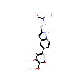 Cc1c(-c2ccc3c(c2)cc(CNC(C)CO)n3C)[nH]c(=O)c(C(=O)O)c1O